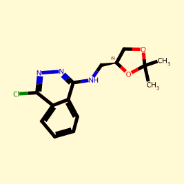 CC1(C)OC[C@H](CNc2nnc(Cl)c3ccccc23)O1